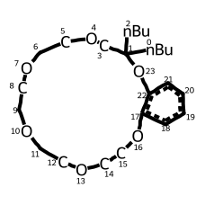 CCCCC1(CCCC)COCCOCCOCCOCCOc2ccccc2O1